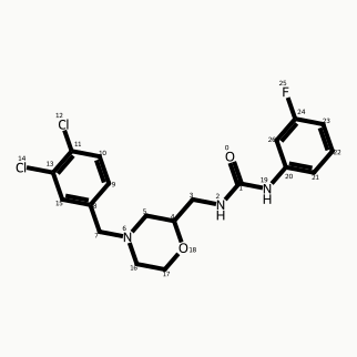 O=C(NCC1CN(Cc2ccc(Cl)c(Cl)c2)CCO1)Nc1cccc(F)c1